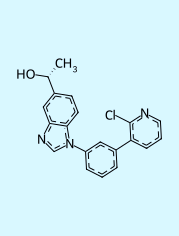 C[C@@H](O)c1ccc2c(c1)ncn2-c1cccc(-c2cccnc2Cl)c1